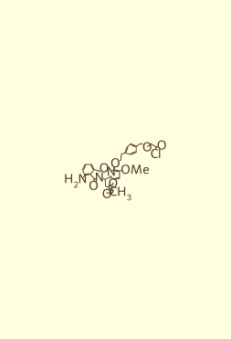 COc1ccc(C(CS(C)(=O)=O)N2C(=O)c3cccc(N)c3C2=O)nc1OCCc1ccc(COCC(=O)Cl)cc1